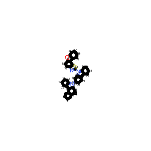 c1ccc2c(c1)ccc1c2c2ccccc2n1-c1ccc2c3ccccc3n(-c3nc4ccc5oc6ccccc6c5c4s3)c2c1